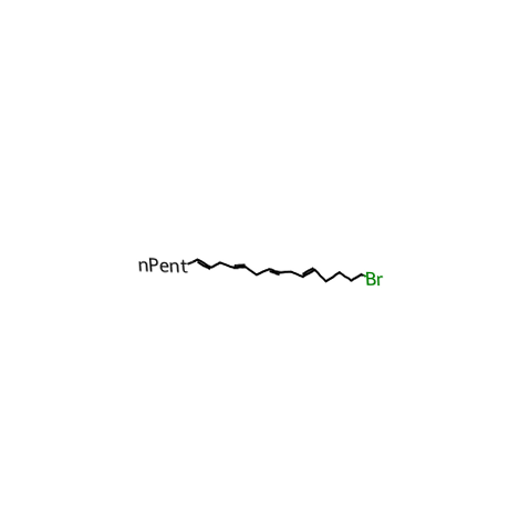 CCCCCC=CCC=CCC=CCC=CCCCCBr